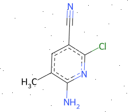 Cc1cc(C#N)c(Cl)nc1N